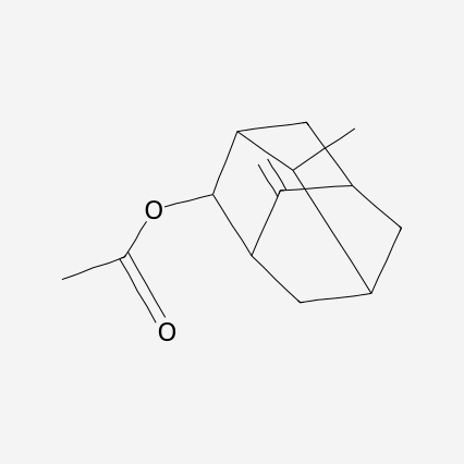 C=C1C2CC3CC1C(OC(C)=O)C(C2)C3C